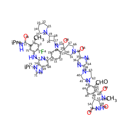 Cc1cc(F)c(Nc2nc(-c3ccc4c(c3)N(C3CC(N5CCCCC5)C3)C(=O)C43CCN(C(=O)c4cnc(N5CCN(c6cccc(C(=O)N(C)C7CCC(=O)NC7=O)c6C=O)CC5)cn4)CC3)cc3ncn(C(C)C)c23)cc1C(=O)NC(C)C